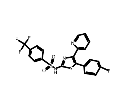 O=S(=O)(Nc1nc(-c2ccccn2)c(-c2ccc(F)cc2)s1)c1ccc(C(F)(F)F)cc1